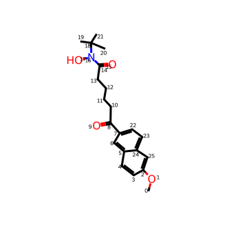 COc1ccc2cc(C(=O)CCCCC(=O)N(O)C(C)(C)C)ccc2c1